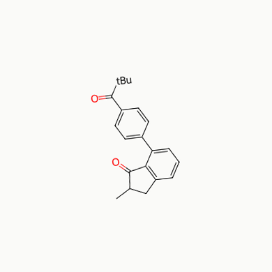 CC1Cc2cccc(-c3ccc(C(=O)C(C)(C)C)cc3)c2C1=O